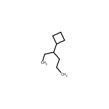 [CH2]CCC(CC)C1CCC1